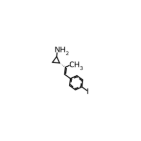 C/C(=C\c1ccc(I)cc1)[C@@H]1CC1N